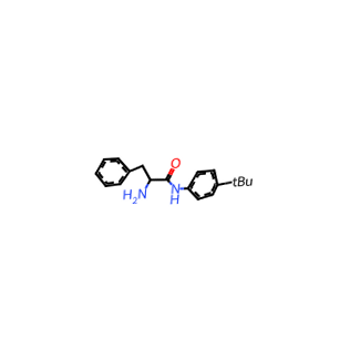 CC(C)(C)c1ccc(NC(=O)C(N)Cc2ccccc2)cc1